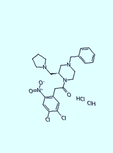 Cl.Cl.O=C(Cc1cc(Cl)c(Cl)cc1[N+](=O)[O-])N1CCN(Cc2ccccc2)C[C@@H]1CN1CCCC1